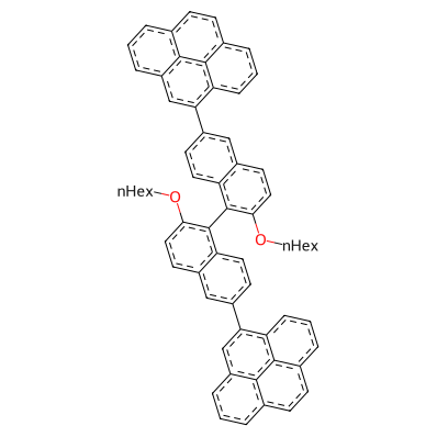 CCCCCCOc1ccc2cc(-c3cc4cccc5ccc6cccc3c6c54)ccc2c1-c1c(OCCCCCC)ccc2cc(-c3cc4cccc5ccc6cccc3c6c54)ccc12